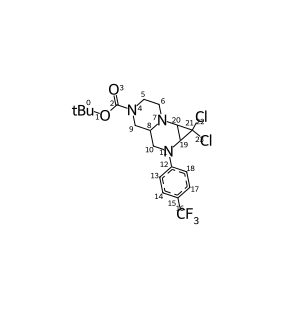 CC(C)(C)OC(=O)N1CCN2C(C1)CN(c1ccc(C(F)(F)F)cc1)C1C2C1(Cl)Cl